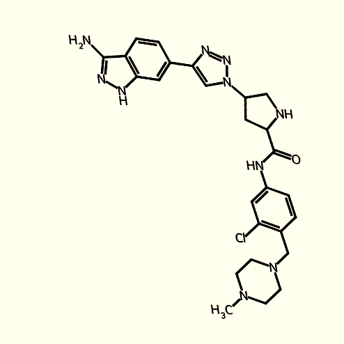 CN1CCN(Cc2ccc(NC(=O)C3CC(n4cc(-c5ccc6c(N)n[nH]c6c5)nn4)CN3)cc2Cl)CC1